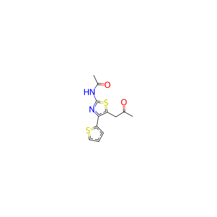 CC(=O)Cc1sc(NC(C)=O)nc1-c1cccs1